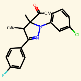 CCCCC1C(c2ccc(F)cc2)=NN(c2cccc(Cl)c2)C1(C)C(=O)OC